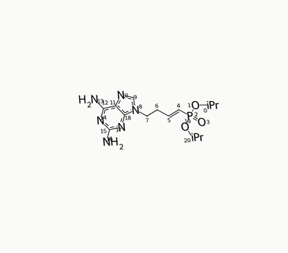 CC(C)OP(=O)(C=CCCn1cnc2c(N)nc(N)nc21)OC(C)C